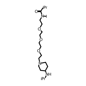 CC(C)NC1CCN(CCOCCOCCOCCN(I)C(=O)C(C)C)CC1